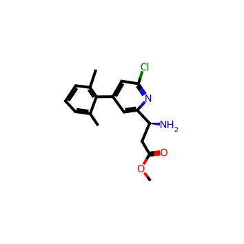 COC(=O)C[C@H](N)c1cc(-c2c(C)cccc2C)cc(Cl)n1